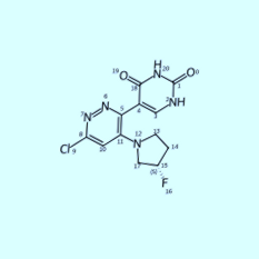 O=c1[nH]cc(-c2nnc(Cl)cc2N2CC[C@H](F)C2)c(=O)[nH]1